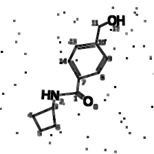 O=C(NC1CCC1)c1ccc(CO)cc1